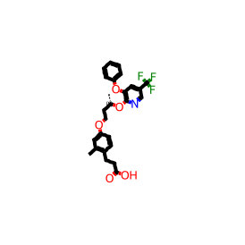 Cc1cc(OCC[C@H](C)Oc2ncc(C(F)(F)F)cc2Oc2ccccc2)ccc1CCC(=O)O